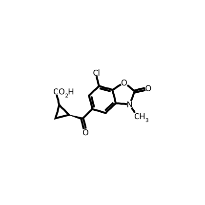 Cn1c(=O)oc2c(Cl)cc(C(=O)[C@H]3CC3C(=O)O)cc21